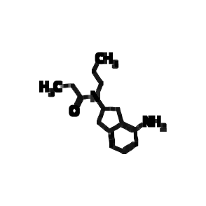 CCCN(C(=O)CC)C1Cc2cccc(N)c2C1